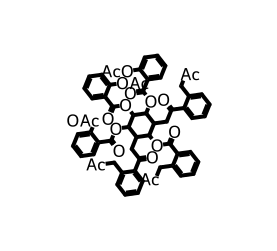 CC(=O)Cc1ccccc1C(=O)CC1C(OC(=O)c2ccccc2CC(C)=O)C(CC(=O)c2ccccc2CC(C)=O)C(OC(=O)c2ccccc2OC(C)=O)C(OC(=O)c2ccccc2OC(C)=O)C1OC(=O)c1ccccc1OC(C)=O